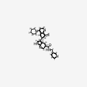 O=C(NCc1cccnc1)c1cnc2[nH]cc(-c3cc(F)c4nccc(N5CCCCC5)c4c3)c2c1